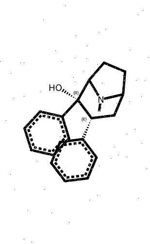 CN1C2CCC1[C@](O)(c1ccccc1)[C@@H](c1ccccc1)C2